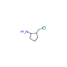 NC1CCCC1CCl